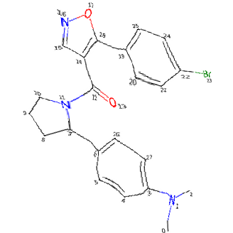 CN(C)c1ccc(C2CCCN2C(=O)c2cnoc2-c2ccc(Br)cc2)cc1